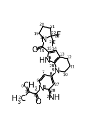 C=C(C)C(=O)n1ccc(N2CCCc3cc(C(=O)N4CCCC4(F)F)[nH]c32)cc1=N